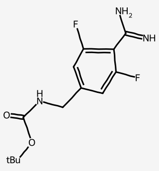 CC(C)(C)OC(=O)NCc1cc(F)c(C(=N)N)c(F)c1